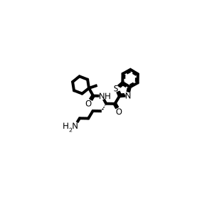 CC1(C(=O)N[C@@H](CCCCN)C(=O)c2nc3ccccc3s2)CCCCC1